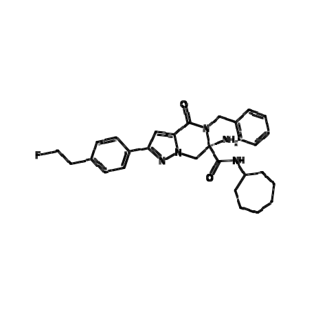 NC1(C(=O)NC2CCCCCC2)Cn2nc(-c3ccc(CCF)cc3)cc2C(=O)N1Cc1ccccc1